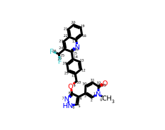 Cn1cc(-c2c[nH]nc2OCc2ccc(-c3nc4ccccc4cc3C(F)F)cc2)ccc1=O